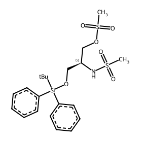 CC(C)(C)[Si](OC[C@@H](COS(C)(=O)=O)NS(C)(=O)=O)(c1ccccc1)c1ccccc1